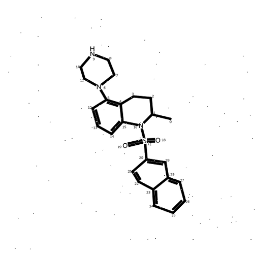 CC1CCc2c(N3CCNCC3)cccc2N1S(=O)(=O)c1ccc2ccccc2c1